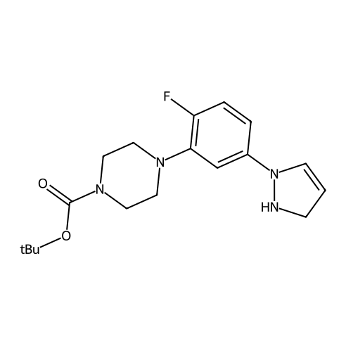 CC(C)(C)OC(=O)N1CCN(c2cc(N3C=CCN3)ccc2F)CC1